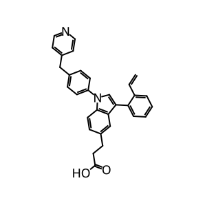 C=Cc1ccccc1-c1cn(-c2ccc(Cc3ccncc3)cc2)c2ccc(CCC(=O)O)cc12